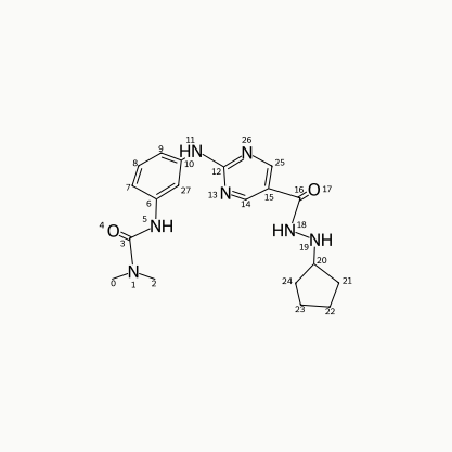 CN(C)C(=O)Nc1cccc(Nc2ncc(C(=O)NNC3CCCC3)cn2)c1